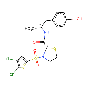 O=C(O)[C@H](Cc1ccc(O)cc1)NC(=O)[C@@H]1SCCN1S(=O)(=O)c1cc(Cl)c(Cl)s1